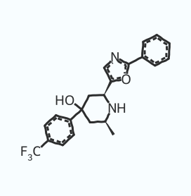 C[C@H]1CC(O)(c2ccc(C(F)(F)F)cc2)C[C@@H](c2cnc(-c3ccccc3)o2)N1